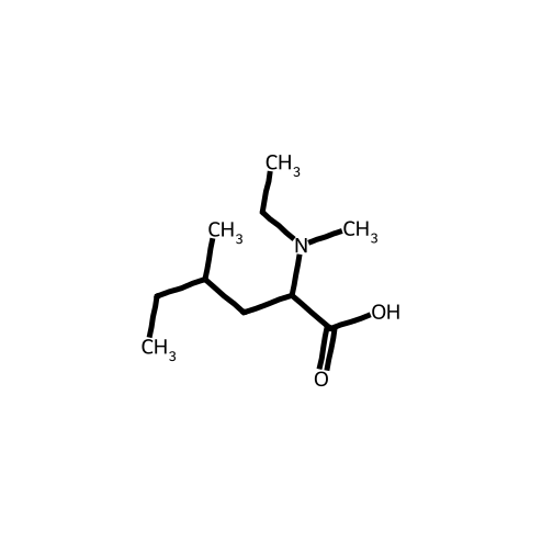 CCC(C)CC(C(=O)O)N(C)CC